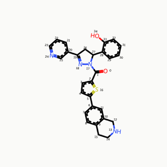 O=C(c1ccc(-c2ccc3c(c2)CNCC3)s1)N1N=C(c2cccnc2)CC1c1ccccc1O